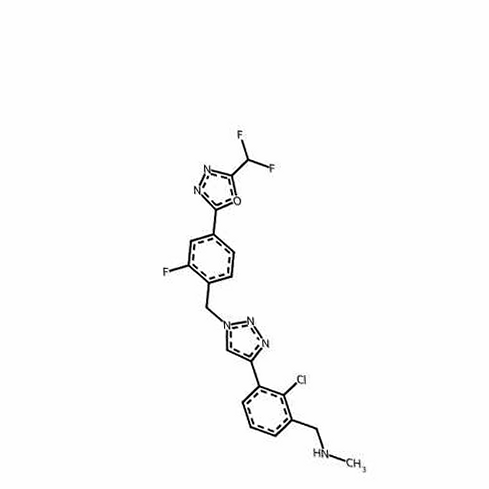 CNCc1cccc(-c2cn(Cc3ccc(-c4nnc(C(F)F)o4)cc3F)nn2)c1Cl